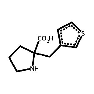 O=C(O)C1(Cc2ccsc2)CCCN1